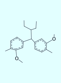 CCC(CC)C(c1ccc(C)c(OC)c1)c1ccc(C)c(OC)c1